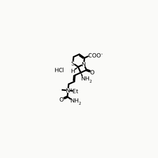 CC[N+](C)(C/C=C/[C@@]1(N)C(=O)N2C(C(=O)[O-])=CCS[C@H]21)C(N)=O.Cl